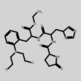 CCOC(=O)C(Cc1ccccc1N(CCCl)CCCl)NC(=O)C(CC1C=NC=N1)NC(=O)C1CCC(=O)N1